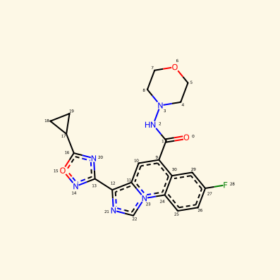 O=C(NN1CCOCC1)c1cc2c(-c3noc(C4CC4)n3)ncn2c2ccc(F)cc12